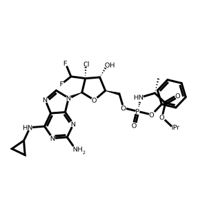 CC(C)OC(=O)[C@@H](C)N[P@](=O)(OC[C@H]1O[C@@H](n2cnc3c(NC4CC4)nc(N)nc32)[C@@](Cl)(C(F)F)[C@@H]1O)Oc1ccccc1